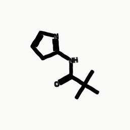 CC(C)(C)C(=O)NC1=NC=CC1